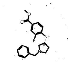 COC(=O)c1ccc(N[C@@H]2CCN(Cc3ccccc3)C2)c(F)c1